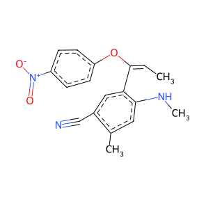 C/C=C(/Oc1ccc([N+](=O)[O-])cc1)c1cc(C#N)c(C)cc1NC